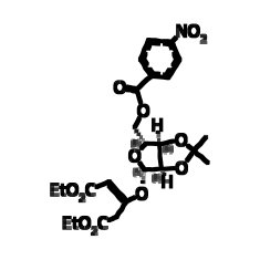 CCOC(=O)C=C(CC(=O)OCC)O[C@@H]1O[C@H](COC(=O)c2ccc([N+](=O)[O-])cc2)[C@H]2OC(C)(C)O[C@@H]12